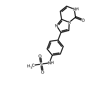 CS(=O)(=O)Nc1ccc(-c2cn3c(=O)[nH]ccc3n2)cc1